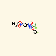 CS(=O)(=O)N1Cc2ccc(Cn3cnc(OCc4ccc(F)cc4F)c(Cl)c3=O)cc2C1